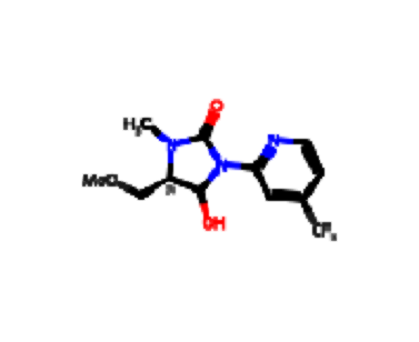 COC[C@@H]1C(O)N(c2cc(C(F)(F)F)ccn2)C(=O)N1C